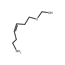 NCC/C=C\CCOCO